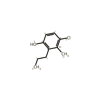 CCCc1c(O)ccc(Cl)c1C